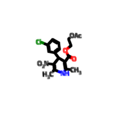 CC(=O)OCCOC(=O)C1=C(C)NC(C)=C([N+](=O)[O-])C1c1cccc(Cl)c1